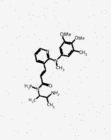 COc1cc(N(C)c2ncccc2/C=C/C(=O)N(P)C(C)C(C)N)cc(C)c1OC